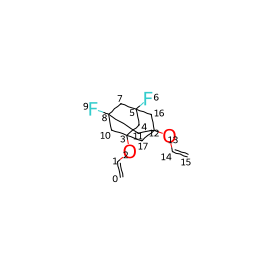 C=COC12CC3(F)CC(F)(C1)CC(OC=C)(C3)C2